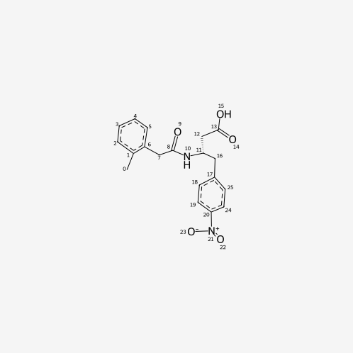 Cc1ccccc1CC(=O)N[C@H](CC(=O)O)Cc1ccc([N+](=O)[O-])cc1